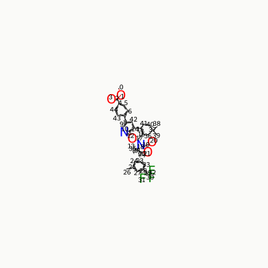 COC(=O)c1ccc(-c2cnc(OC)c(C3=C(CN4C(=O)O[C@H](c5cc(C)cc(C(F)(F)F)c5)[C@@H]4C)CC(C)(C)CC3)c2)cc1